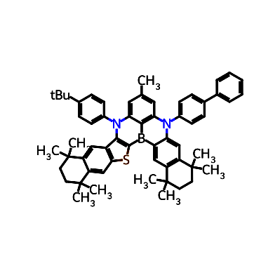 Cc1cc2c3c(c1)N(c1ccc(C(C)(C)C)cc1)c1c(sc4cc5c(cc14)C(C)(C)CCC5(C)C)B3c1cc3c(cc1N2c1ccc(-c2ccccc2)cc1)C(C)(C)CCC3(C)C